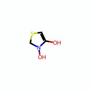 OC1=CSCN1O